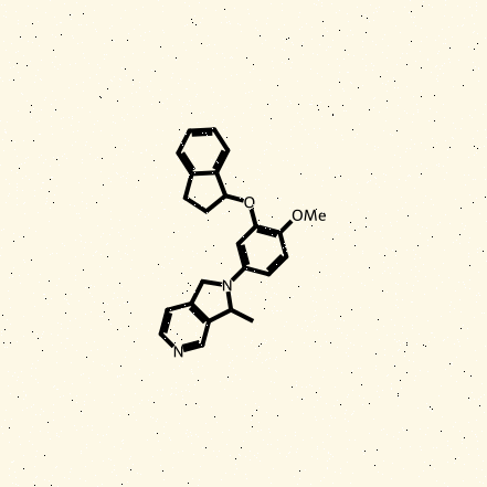 COc1ccc(N2Cc3ccncc3C2C)cc1OC1CCc2ccccc21